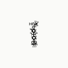 CCC(CC)(c1ccc(B2OC(C)(C)C(C)(C)O2)cc1)c1ccc(OCC(O)C(C)(C)C)c(C)c1